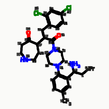 CC(C)CC(N)c1cc(C(F)(F)F)ccc1N1CCN(C(=O)C(Cc2ccc(Cl)cc2Cl)C2CCNCCC2=O)CC1